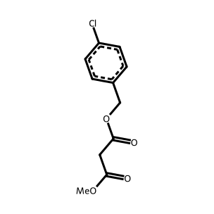 COC(=O)CC(=O)OCc1ccc(Cl)cc1